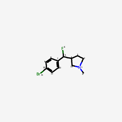 CN1CCC(C(F)c2ccc(Br)cc2)C1